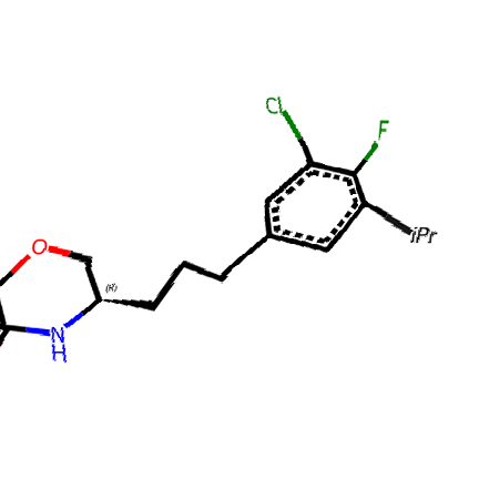 CC(C)c1cc(CCC[C@@H]2COCC(=O)N2)cc(Cl)c1F